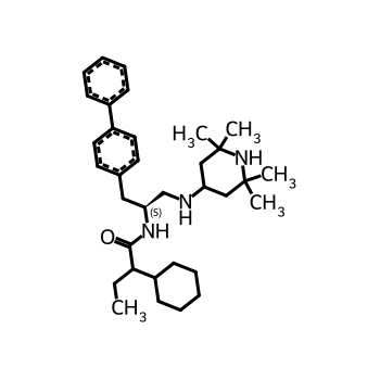 CCC(C(=O)N[C@H](CNC1CC(C)(C)NC(C)(C)C1)Cc1ccc(-c2ccccc2)cc1)C1CCCCC1